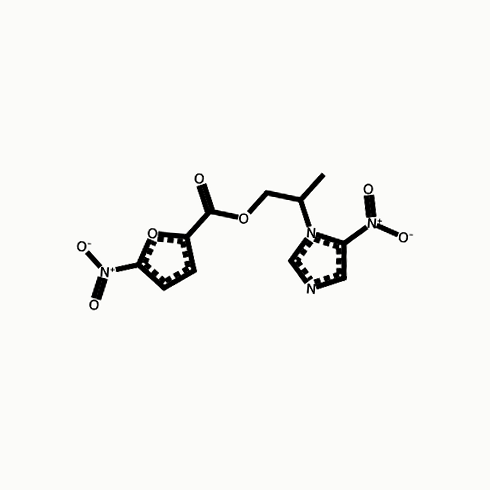 CC(COC(=O)c1ccc([N+](=O)[O-])o1)n1cncc1[N+](=O)[O-]